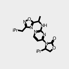 CC(C)Cc1noc(C(C)Nc2nccc(N3C(=O)OCC3C(C)C)n2)n1